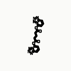 O=C(CCCC(=O)Oc1cccc2nnnn12)Oc1cccc2nnnn12